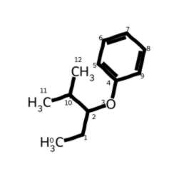 CCC(Oc1ccccc1)[C](C)C